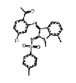 CC(=O)c1ccc(Cl)cc1/N=C1\C(=NS(=O)(=O)c2ccc(C)cc2)N(C)c2c(C)cccc21